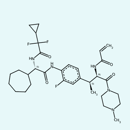 C=CC(=O)N[C@@H](C(=O)N1CCN(C)CC1)[C@@H](C)c1ccc(NC(=O)[C@@H](NC(=O)C(F)(F)C2CC2)C2CCCCCC2)c(F)c1